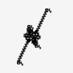 [C-]#[N+]/C(c1nc2cc(C)ccc2o1)=c1\c2c(-c3cccc(OCCCCCCCCCCCCCCCCCC)c3)n(B(c3ccccc3)c3ccccc3)/c(=C(/C#N)c3nc4cc(C)ccc4o3)c2c(-c2cccc(OCCCCCCCCCCCCCCCCCC)c2)n1B(c1ccccc1)c1ccccc1